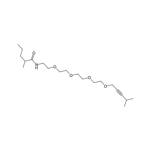 CCCC(C)C(=O)NCCOCCOCCOCCOCC#CC(C)C